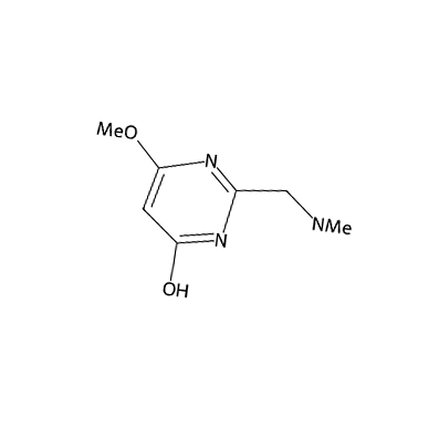 CNCc1nc(O)cc(OC)n1